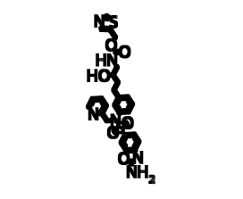 Nc1nc2ccc(S(=O)(=O)N(Cc3ccccn3)c3cccc(CCC(O)CNC(=O)OCc4cncs4)c3)cc2o1